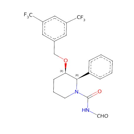 O=CNC(=O)N1CCC[C@@H](OCc2cc(C(F)(F)F)cc(C(F)(F)F)c2)[C@H]1c1ccccc1